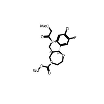 COCC(=O)NC[C@@H]1CN(C(=O)OC(C)(C)C)CCO[C@H]1c1ccc(Cl)c(F)c1